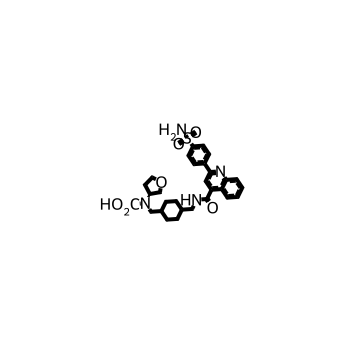 NS(=O)(=O)c1ccc(-c2cc(C(=O)NCC3CCC(CN(C(=O)O)[C@H]4CCOC4)CC3)c3ccccc3n2)cc1